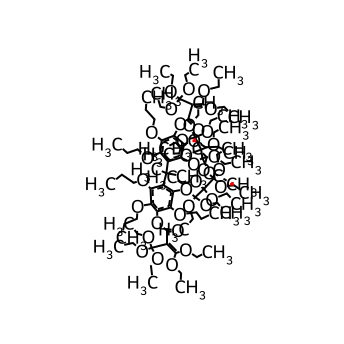 CCCOc1c(OC(=O)C(=C(OCC)OCC)C(OCC)(OCC)OCC)c(OCCC)c(OC(OCC)(OCC)C(OCC)(OCC)C(OCC)(OCC)OCC)c(C(C)(C)c2c(OCCC)c(OCCC)c(OC(=O)C(=C(OCC)OCC)C(OCC)(OCC)OCC)c(OCCC)c2OC(OCC)(OCC)C(OCC)(OCC)C(OCC)(OCC)OCC)c1OCCC